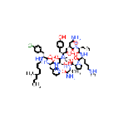 C=C/C=C(C)/C=C\C=C/CN[C@H](Cc1ccc(Cl)cc1)C(=O)N[C@H](Cc1cccnc1)C(=O)N[C@@H](CO)C(=O)N(C)[C@@H](Cc1ccc(O)cc1)C(=O)C[C@H](CC(N)=O)C(=O)N[C@@H](CC(C)C)C(=O)N[C@@H](CCCCNC(C)C)C(=O)N1CCC[C@H]1C(=O)N[C@H](C)C(N)=O